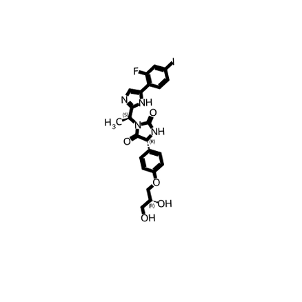 C[C@@H](c1ncc(-c2ccc(I)cc2F)[nH]1)N1C(=O)N[C@H](c2ccc(OC[C@H](O)CO)cc2)C1=O